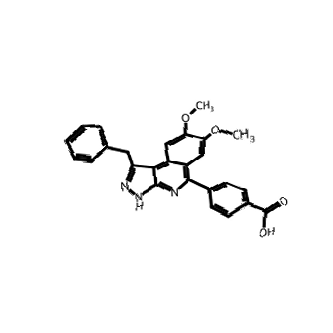 COc1cc2c(-c3ccc(C(=O)O)cc3)nc3[nH]nc(Cc4ccccc4)c3c2cc1OC